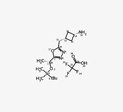 C[C@@H](O[Si](C)(C)C(C)(C)C)c1nnc(C[C@H]2C[C@@H](N)C2)o1.O=C(O)C(F)(F)F